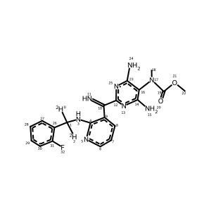 [2H]C([2H])(Nc1ncccc1C(=N)c1nc(N)c(N(C)C(=O)OC)c(N)n1)c1ccccc1F